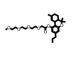 CCCc1cc(OC(=O)COCCOCCOCCOC)c2c(c1)OC(C)(C)C1CCC(C)=CC21